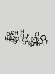 C[C@H](Nc1nc(Cl)nc2c1cnn2[C@@H]1O[C@H](COP(=O)(O)CP(=O)(O)O)[C@@H](O)[C@@H]1F)c1ccccc1F